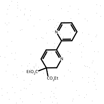 CCOC(=O)C1(C(=O)OCC)C=CC(c2ccccn2)=NC1